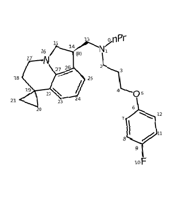 CCCN(CCCOc1ccc(F)cc1)C[C@@H]1CN2CCC3(CC3)c3cccc1c32